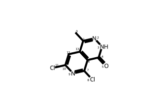 Cc1n[nH]c(=O)c2c(Cl)nc(Cl)cc12